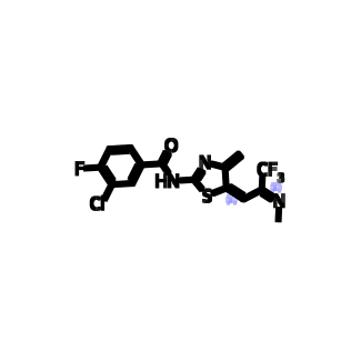 C=c1nc(NC(=O)c2ccc(F)c(Cl)c2)s/c1=C/C(=N\C)C(F)(F)F